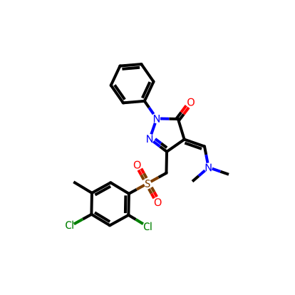 Cc1cc(S(=O)(=O)CC2=NN(c3ccccc3)C(=O)C2=CN(C)C)c(Cl)cc1Cl